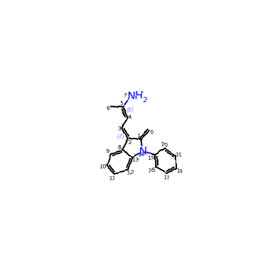 C=c1/c(=C\C=C(/C)N)c2ccccc2n1-c1ccccc1